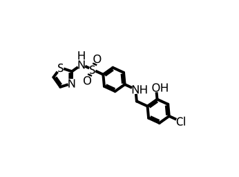 O=S(=O)(Nc1nccs1)c1ccc(NCc2ccc(Cl)cc2O)cc1